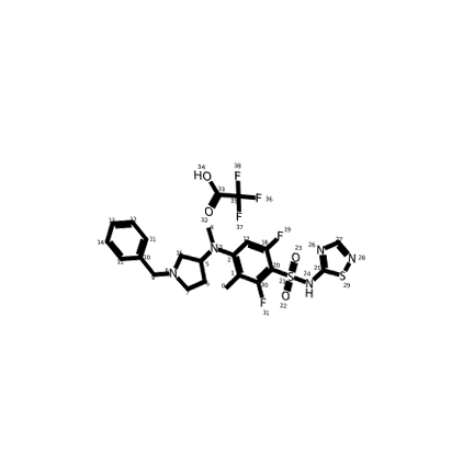 Cc1c(N(C)C2CCN(Cc3ccccc3)C2)cc(F)c(S(=O)(=O)Nc2ncns2)c1F.O=C(O)C(F)(F)F